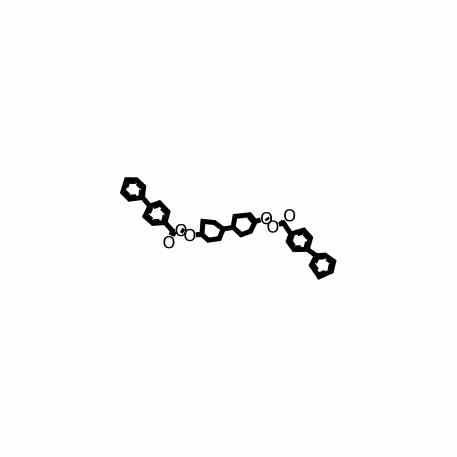 O=C(OOC1=CCC(C2CCC(OOC(=O)c3ccc(-c4ccccc4)cc3)CC2)CC1)c1ccc(-c2ccccc2)cc1